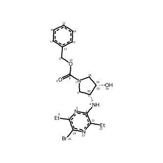 CCc1nc(N[C@@H]2CN(C(=O)OCc3ccccc3)C[C@@H]2O)c(CC)nc1Br